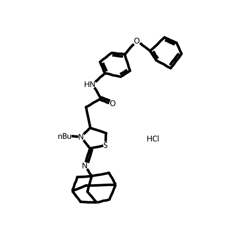 CCCCN1/C(=N/C23CC4CC(CC(C4)C2)C3)SCC1CC(=O)Nc1ccc(Oc2ccccc2)cc1.Cl